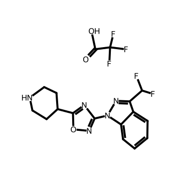 FC(F)c1nn(-c2noc(C3CCNCC3)n2)c2ccccc12.O=C(O)C(F)(F)F